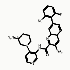 N#Cc1cccc(F)c1C1=CC2N=C(C(=O)Nc3cnccc3N3CCC[C@H](N)C3)C(N)=CC2C=C1